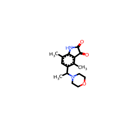 Cc1cc(C(C)N2CCOCC2)c(C)c2c1NC(=O)C2=O